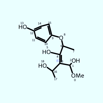 COC(O)/C(=C(/O)C(C)Oc1ccc(O)cc1)C(C)O